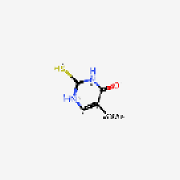 COC1=CNC(S)NC1=O